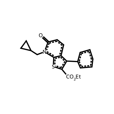 CCOC(=O)c1sc2c(ccc(=O)n2CC2CC2)c1-c1ccccc1